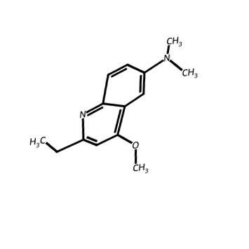 CCc1cc(OC)c2cc(N(C)C)ccc2n1